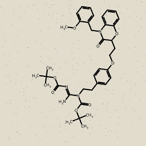 COc1ccccc1CN1C(=O)C(CCOc2ccc(CCN(C(=O)OC(C)(C)C)C(N)=NC(=O)OC(C)(C)C)cc2)Oc2ccccc21